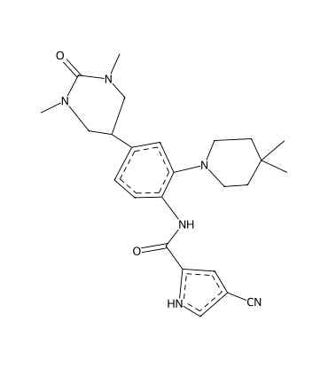 CN1CC(c2ccc(NC(=O)c3cc(C#N)c[nH]3)c(N3CCC(C)(C)CC3)c2)CN(C)C1=O